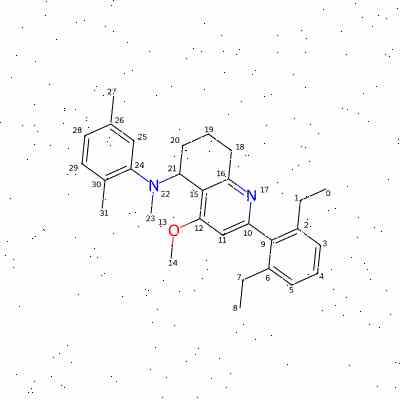 CCc1cccc(CC)c1-c1cc(OC)c2c(n1)CCCC2N(C)c1cc(C)ccc1C